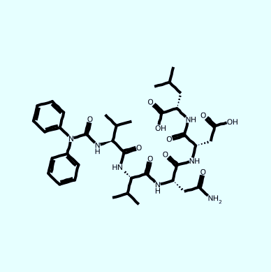 CC(C)C[C@H](NC(=O)[C@H](CC(=O)O)NC(=O)[C@H](CC(N)=O)NC(=O)[C@@H](NC(=O)[C@@H](NC(=O)N(c1ccccc1)c1ccccc1)C(C)C)C(C)C)C(=O)O